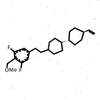 C=C[C@H]1CC[C@H](C2CCC(CCc3cc(F)c(COC)c(F)c3)CC2)CC1